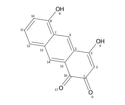 O=C1C=C(O)c2cc3c(O)cccc3cc2C1=O